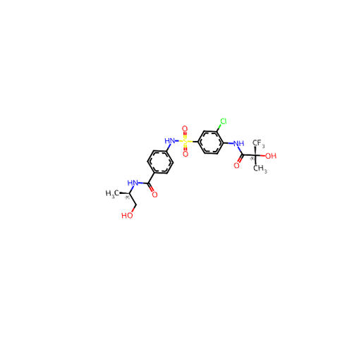 C[C@H](CO)NC(=O)c1ccc(NS(=O)(=O)c2ccc(NC(=O)[C@@](C)(O)C(F)(F)F)c(Cl)c2)cc1